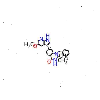 COc1cnc2[nH]cc(-c3ccc4c(c3)N(Cc3ccccc3)C(C)(C)NC4=O)c2c1